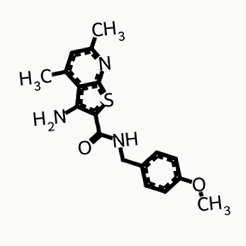 COc1ccc(CNC(=O)c2sc3nc(C)cc(C)c3c2N)cc1